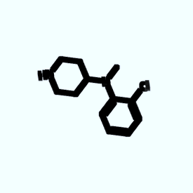 CN(c1ccccc1Cl)C1CCNCC1